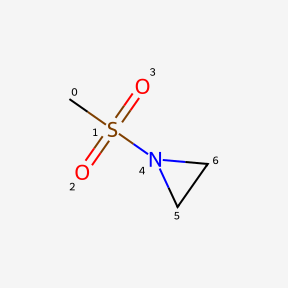 CS(=O)(=O)N1CC1